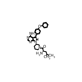 CC(C)C[C@H](N)C(=O)N1CCC[C@@H](n2nc(-c3ccc(Oc4ccccc4)cc3)c3c(N)ncnc32)C1